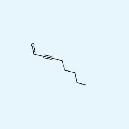 CCCCCC#CC=O